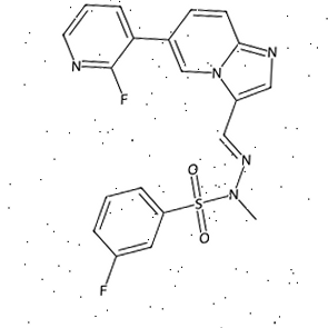 CN(/N=C/c1cnc2ccc(-c3cccnc3F)cn12)S(=O)(=O)c1cccc(F)c1